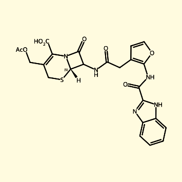 CC(=O)OCC1=C(C(=O)O)N2C(=O)C(NC(=O)Cc3ccoc3NC(=O)c3nc4ccccc4[nH]3)[C@@H]2SC1